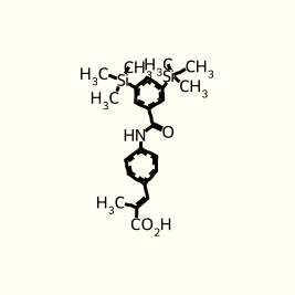 CC(=Cc1ccc(NC(=O)c2cc([Si](C)(C)C)cc([Si](C)(C)C)c2)cc1)C(=O)O